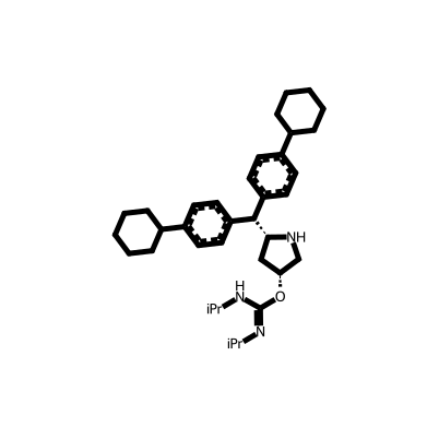 CC(C)/N=C(\NC(C)C)O[C@H]1CN[C@@H](C(c2ccc(C3CCCCC3)cc2)c2ccc(C3CCCCC3)cc2)C1